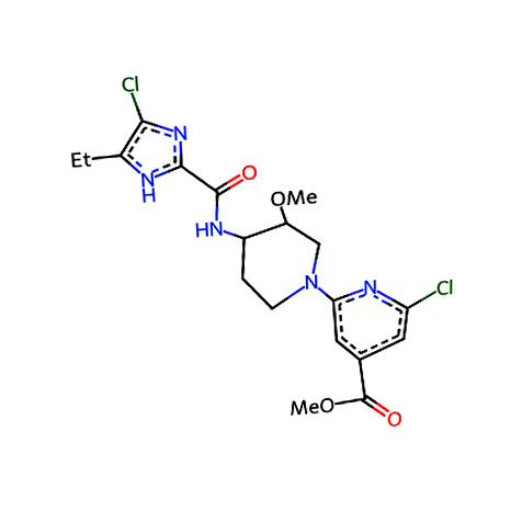 CCc1[nH]c(C(=O)NC2CCN(c3cc(C(=O)OC)cc(Cl)n3)CC2OC)nc1Cl